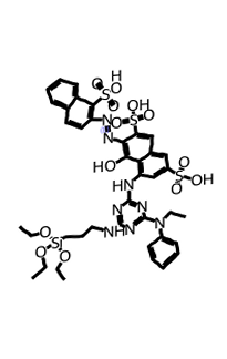 CCO[Si](CCCNc1nc(Nc2cc(S(=O)(=O)O)cc3cc(S(=O)(=O)O)c(/N=N/c4ccc5ccccc5c4S(=O)(=O)O)c(O)c23)nc(N(CC)c2ccccc2)n1)(OCC)OCC